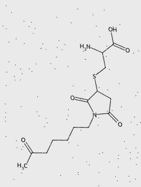 CC(=O)CCCCCN1C(=O)CC(SCC(N)C(=O)O)C1=O